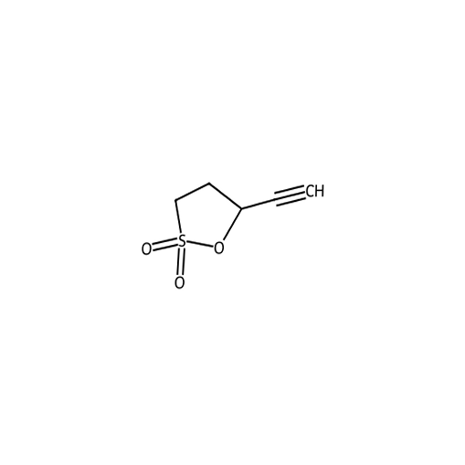 C#CC1CCS(=O)(=O)O1